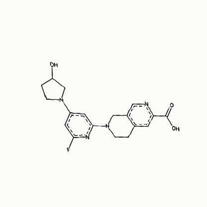 O=C(O)c1cc2c(cn1)CN(c1cc(N3CCC(O)C3)cc(F)n1)CC2